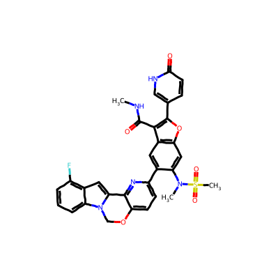 CNC(=O)c1c(-c2ccc(=O)[nH]c2)oc2cc(N(C)S(C)(=O)=O)c(-c3ccc4c(n3)-c3cc5c(F)cccc5n3CO4)cc12